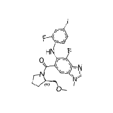 COC[C@H]1CCCN1C(=O)c1cc2c(ncn2C)c(F)c1Nc1ccc(I)cc1F